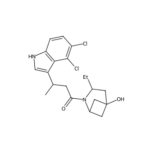 CCC1CC2(O)CC(C2)N1C(=O)CC(C)c1c[nH]c2ccc(Cl)c(Cl)c12